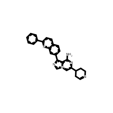 Nc1nc(C2CC=NCC2)cn2cnc(-c3ccc4ccc(-c5ccccc5)nc4c3)c12